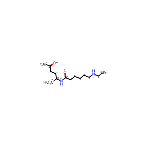 CC(C)CNCCCCCC(=O)NC(CCC(=O)C(C)(C)C)C(=O)O